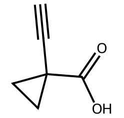 C#CC1(C(=O)O)CC1